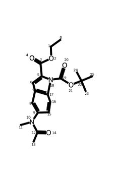 CCOC(=O)c1cc2cc(N(C)C(C)=O)ccc2n1C(=O)OC(C)(C)C